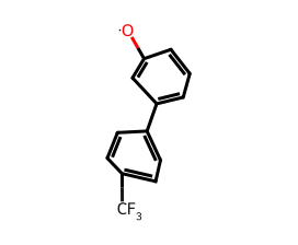 [O]c1cccc(-c2ccc(C(F)(F)F)cc2)c1